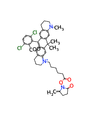 C=C1CCC(=O)N1OC(=O)CCCCC[N+]1=c2cc3c(cc2CCC1)=C(c1c(Cl)ccc(Cl)c1C(=O)[O-])c1cc2c(cc1C3(C)C)N(C)CCC2